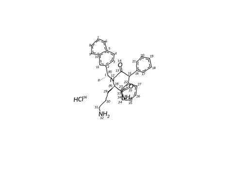 C[C@H](c1ccc2ccccc2c1)N(C(=O)C(c1ccccc1)c1ccccc1)[C@H](CCCN)C(N)=O.Cl